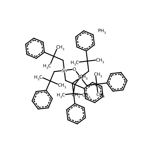 CC(C)([CH2][Sn]([CH2]C(C)(C)c1ccccc1)([CH2]C(C)(C)c1ccccc1)[O][Sn]([CH2]C(C)(C)c1ccccc1)([CH2]C(C)(C)c1ccccc1)[CH2]C(C)(C)c1ccccc1)c1ccccc1.P